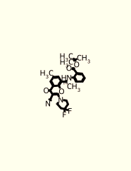 Cc1cc([C@@H](C)Nc2ccccc2C(=O)OC(C)(C)C)c2oc(N3CCC(F)(F)CC3)c(C#N)c(=O)c2c1